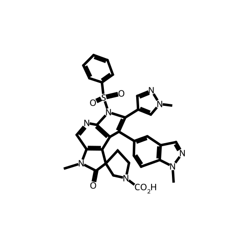 CN1C(=O)C2(CCN(C(=O)O)C2)c2c1cnc1c2c(-c2ccc3c(cnn3C)c2)c(-c2cnn(C)c2)n1S(=O)(=O)c1ccccc1